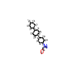 O=C=Nc1ccc(-c2ccc(-c3ccccc3)cc2)cc1